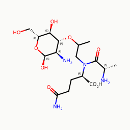 CC(CN(C(=O)[C@H](C)N)[C@H](CCC(N)=O)C(=O)O)O[C@@H]1[C@@H](N)[C@@H](O)O[C@H](CO)[C@H]1O